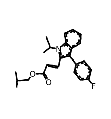 CC(C)COC(=O)C=Cc1c(-c2ccc(F)cc2)c2ccccc2n1C(C)C